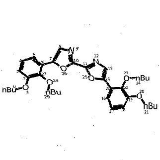 CCCCOc1cccc(-c2cnc(-c3ncc(-c4cccc(OCCCC)c4OCCCC)o3)o2)c1OCCCC